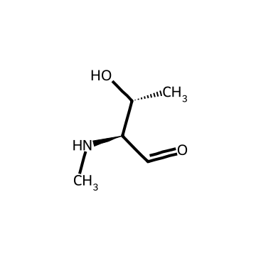 CN[C@H](C=O)[C@@H](C)O